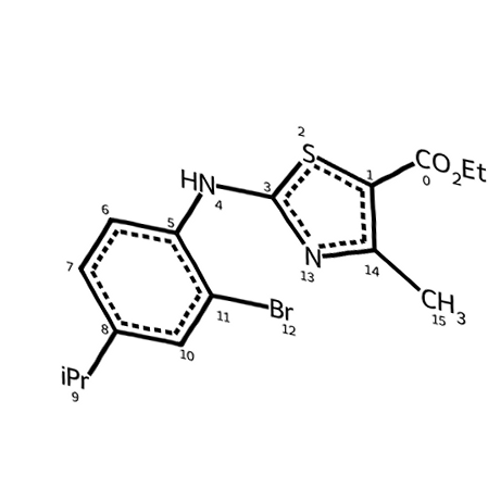 CCOC(=O)c1sc(Nc2ccc(C(C)C)cc2Br)nc1C